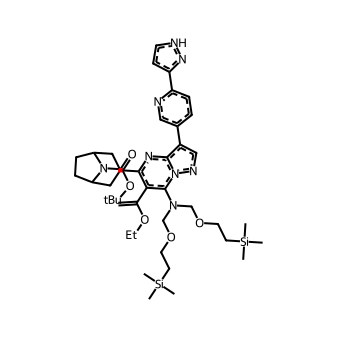 C=C(OCC)c1c(C2CC3CCC(C2)N3C(=O)OC(C)(C)C)nc2c(-c3ccc(-c4cc[nH]n4)nc3)cnn2c1N(COCC[Si](C)(C)C)COCC[Si](C)(C)C